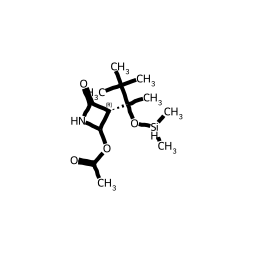 CC(=O)OC1NC(=O)[C@@H]1C(C)(O[SiH](C)C)C(C)(C)C